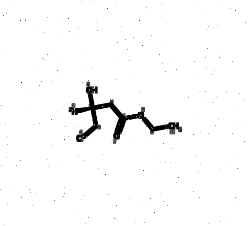 [2H][C@](O)(CCl)CC(=O)OCC